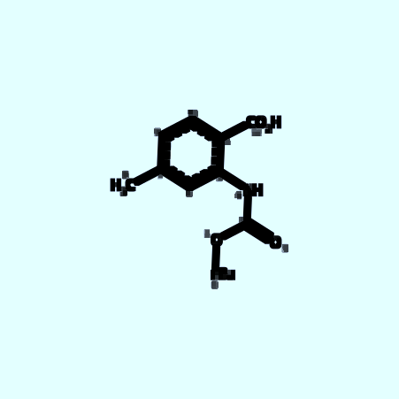 CCCCOC(=O)Nc1cc(C)ccc1C(=O)O